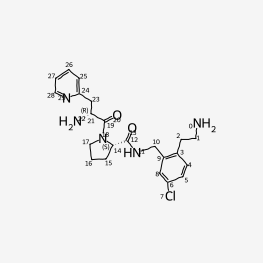 NCCc1ccc(Cl)cc1CNC(=O)[C@@H]1CCCN1C(=O)[C@H](N)Cc1ccccn1